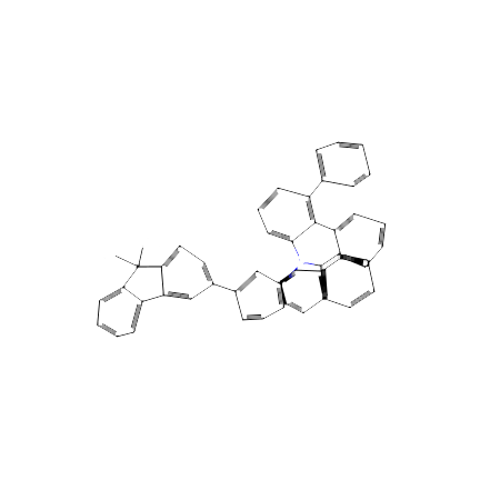 CC1(C)c2ccccc2-c2cc(-c3cccc(N(c4ccccc4)c4cccc(-c5ccccc5)c4-c4ccccc4-c4ccccc4)c3)ccc21